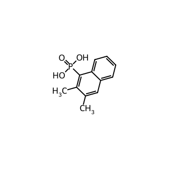 Cc1cc2ccccc2c(P(=O)(O)O)c1C